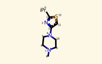 CC(C)c1nc(N2CCN(C)CC2)cs1